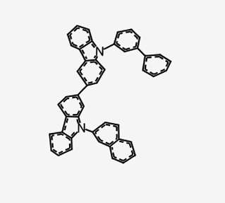 c1ccc(-c2cccc(-n3c4ccccc4c4cc(-c5ccc6c7ccccc7n(-c7ccc8ccccc8c7)c6c5)ccc43)c2)cc1